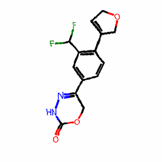 O=C1NN=C(c2ccc(C3=CCOC3)c(C(F)F)c2)CO1